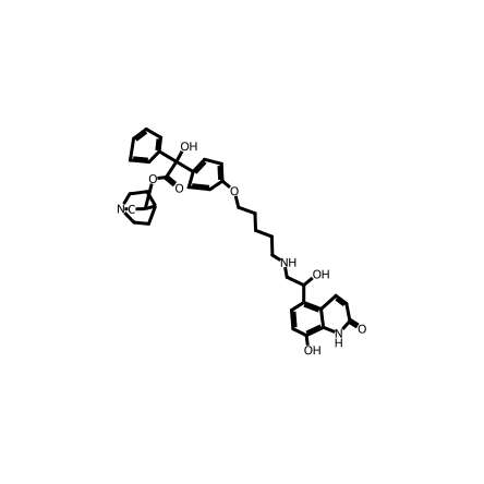 O=C(OC1CN2CCC1CC2)C(O)(c1ccccc1)c1ccc(OCCCCCNCC(O)c2ccc(O)c3[nH]c(=O)ccc23)cc1